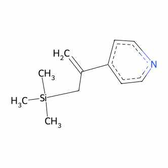 C=C(C[Si](C)(C)C)c1ccncc1